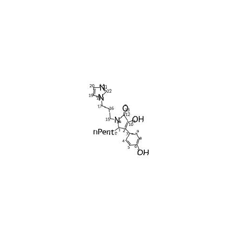 CCCCCC1C(c2ccc(O)cc2)=C(O)C(=O)N1CCCn1ccnc1